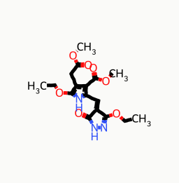 CCOC1=NNC(=O)C1=Cc1[nH]c(OCC)c(CC(=O)OC)c1C(=O)OC